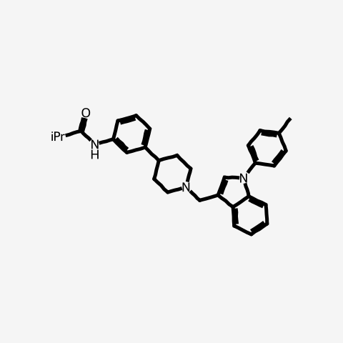 Cc1ccc(-n2cc(CN3CCC(c4cccc(NC(=O)C(C)C)c4)CC3)c3ccccc32)cc1